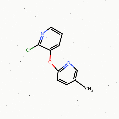 Cc1ccc(Oc2cccnc2Cl)nc1